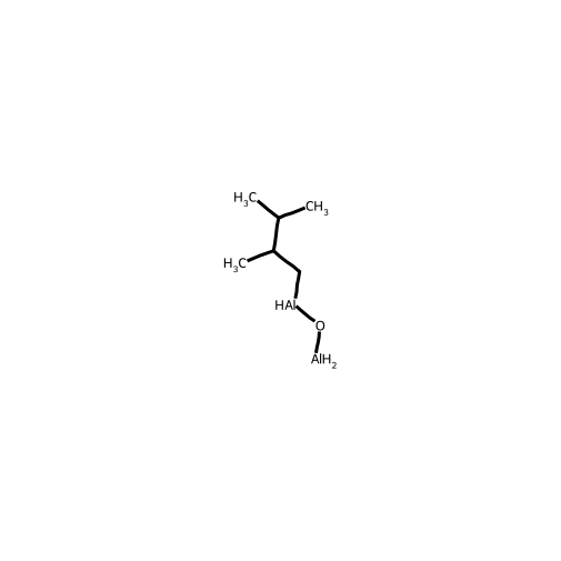 CC(C)C(C)[CH2][AlH][O][AlH2]